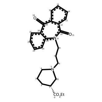 CCOC(=O)[C@@H]1CCCN(CCCn2c(=O)c3ccccc3c(=O)c3ccccc32)C1